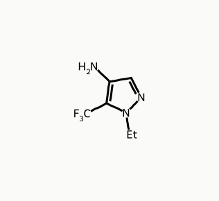 CCn1ncc(N)c1C(F)(F)F